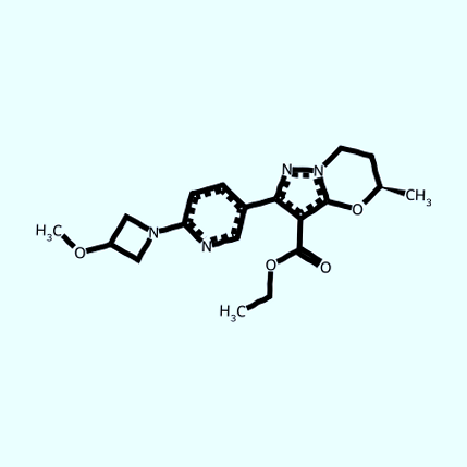 CCOC(=O)c1c(-c2ccc(N3CC(OC)C3)nc2)nn2c1O[C@H](C)CC2